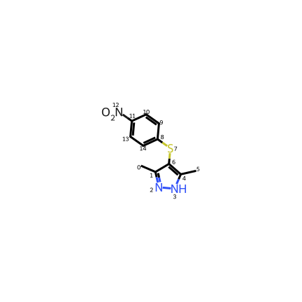 Cc1n[nH]c(C)c1Sc1ccc([N+](=O)[O-])cc1